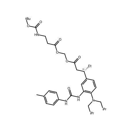 CC[C@@H](CC(=O)OCOC(=O)CCNC(=O)OC(C)(C)C)c1ccc(N(CC(C)C)CC(C)C)c(NC(=O)Nc2ccc(C)cc2)c1